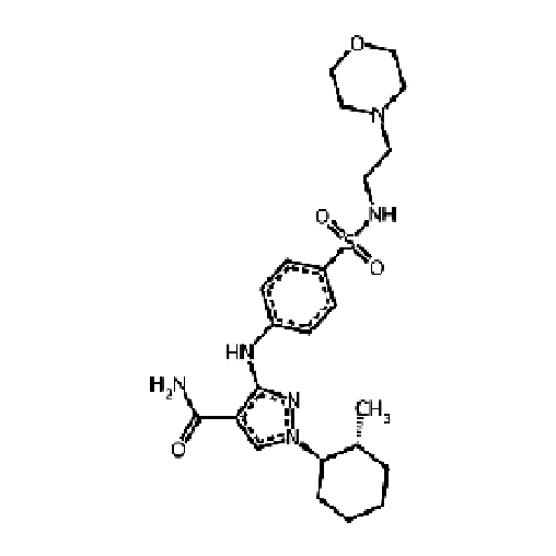 C[C@@H]1CCCC[C@H]1n1cc(C(N)=O)c(Nc2ccc(S(=O)(=O)NCCN3CCOCC3)cc2)n1